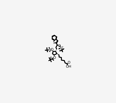 CC(C)(C)[Si](C)(C)OC(CC[C@@H]1[C@@H](CCCCCCC(=O)O)[C@@H](O[Si](C)(C)C(C)(C)C)C[C@H]1O[Si](C)(C)C(C)(C)C)c1cc2ccccc2s1